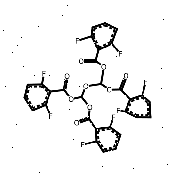 O=C(OC(OC(=O)c1c(F)cccc1F)OC(OC(=O)c1c(F)cccc1F)OC(=O)c1c(F)cccc1F)c1c(F)cccc1F